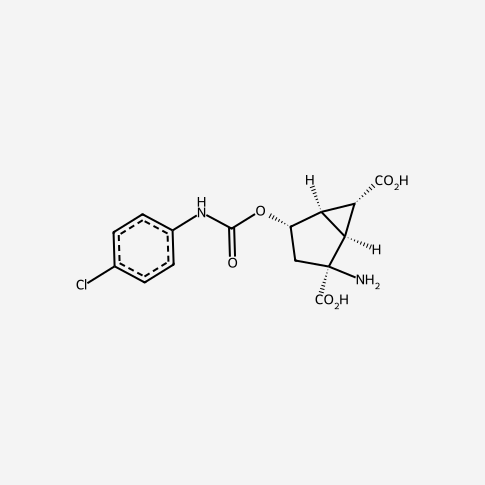 N[C@@]1(C(=O)O)C[C@H](OC(=O)Nc2ccc(Cl)cc2)[C@H]2[C@H](C(=O)O)[C@H]21